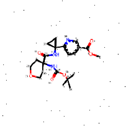 COC(=O)c1ccc(C2(NC(=O)C3(NC(=O)OC(C)(C)C)CCOCC3)CC2)nc1